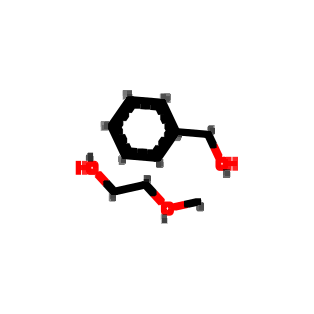 COCCO.OCc1ccccc1